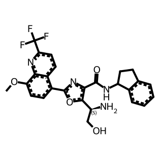 COc1ccc(-c2nc(C(=O)NC3CCc4ccccc43)c([C@@H](N)CO)o2)c2ccc(C(F)(F)F)nc12